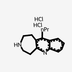 CCCc1c2c(nc3ccccc13)CCNCC2.Cl.Cl